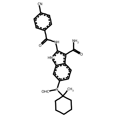 CC1(N(C=O)c2ccc3c(C(N)=O)c(NC(=O)c4ccc(C#N)cc4)[nH]c3c2)CCCCC1